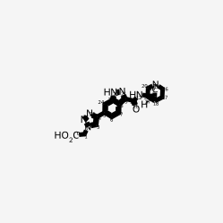 O=C(O)Cn1cc(-c2ccc3c(C(=O)N[C@H]4CN5CCC4CC5)n[nH]c3c2)nn1